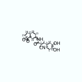 N#CC(=Cc1ccc(O)c(O)c1)C(=O)Nc1ccc2c(c1)S(=O)(=O)C=C2